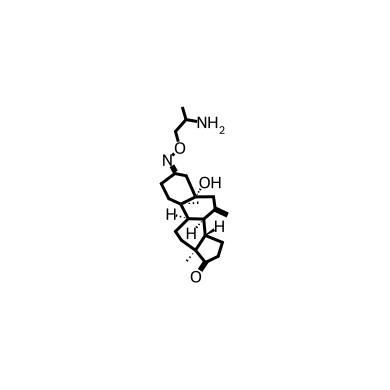 C=C1C[C@]2(O)CC(=NOCC(C)N)CC[C@]2(C)[C@@H]2CC[C@]3(C)C(=O)CC[C@H]3[C@H]12